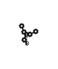 COc1cccc(-n2c3ccc(-c4ccccc4)cc3c3cc(-c4ccccc4)ccc32)c1